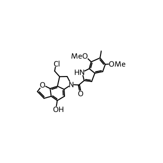 COc1cc2cc(C(=O)N3CC(CCl)c4c3cc(O)c3ccoc43)[nH]c2c(OC)c1C